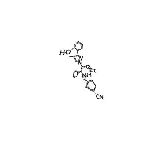 CCO[C@@H](C(=O)NCc1ccc(C#N)cc1)n1cc(C)c(-c2ccccc2O)n1